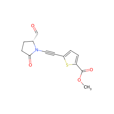 COC(=O)c1ccc(C#CN2C(=O)CC[C@@H]2C=O)s1